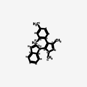 Cc1ccc(-c2c(C)nn(C)c2-n2cnc3ccccc32)c(C)c1